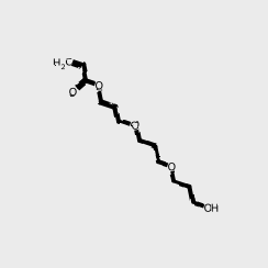 C=CC(=O)OCCCOCCCOCCCO